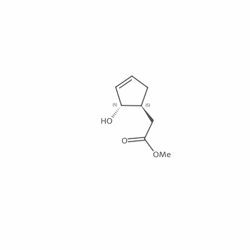 COC(=O)C[C@@H]1CC=C[C@H]1O